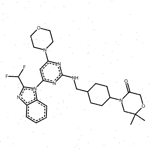 CC1(C)CN(C2CCC(CNc3nc(N4CCOCC4)cc(-n4c(C(F)F)nc5ccccc54)n3)CC2)C(=O)CO1